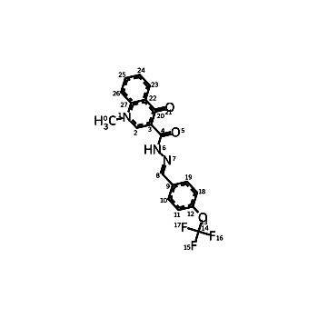 Cn1cc(C(=O)NN=Cc2ccc(OC(F)(F)F)cc2)c(=O)c2ccccc21